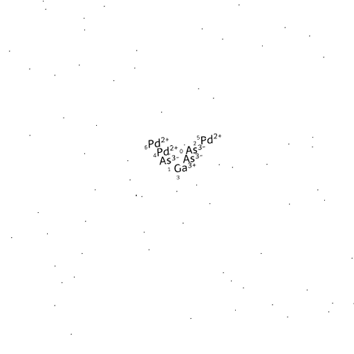 [As-3].[As-3].[As-3].[Ga+3].[Pd+2].[Pd+2].[Pd+2]